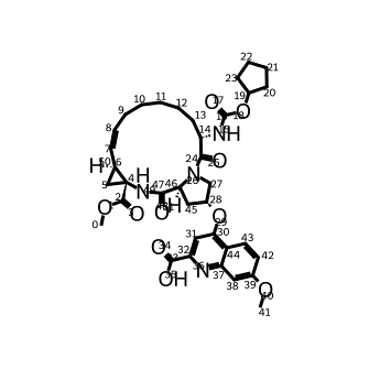 COC(=O)[C@@]12C[C@H]1/C=C\CCCCC[C@H](NC(=O)OC1CCCC1)C(=O)N1C[C@H](Oc3cc(C(=O)O)nc4cc(OC)ccc34)C[C@H]1C(=O)N2